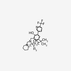 CC(C)(C)c1cc(CN(CC2CCCCC2)C(C)(C)C)c(O)c(-c2ccc(C(F)(F)F)nc2)c1